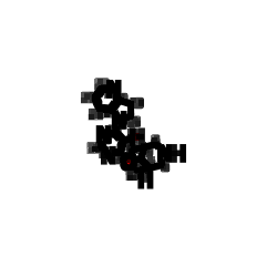 Cc1c(OC2[C@@H]3CNC[C@H]2COC3)ncnc1N1CCc2ncccc21